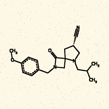 COc1ccc(CN2CC3(C[C@H](C#N)CN3CC(C)C)C2=O)cc1